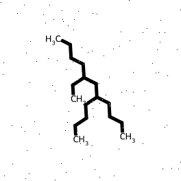 CCCCC([CH]C(CCCC)CCCC)CC